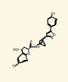 O=C(NC12CC(c3cc(-c4ccc(Cl)cc4)on3)(C1)C2)[C@@H]1C[C@@H](O)c2cc(Cl)ccc2O1